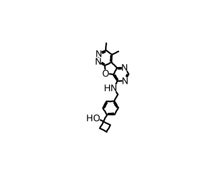 Cc1nnc2oc3c(NCc4ccc(C5(O)CCC5)cc4)ncnc3c2c1C